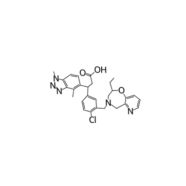 CCC1CN(Cc2cc(C(CC(=O)O)c3ccc4c(nnn4C)c3C)ccc2Cl)Cc2ncccc2O1